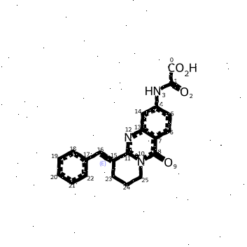 O=C(O)C(=O)Nc1ccc2c(=O)n3c(nc2c1)/C(=C/c1ccccc1)CCC3